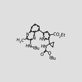 CCOC(=O)c1cc(-c2cccc3nc(C)c(NC(C)(C)C)nc23)[nH]c1C1(NC(=O)OC(C)(C)C)CC1